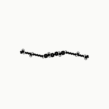 C=C(C)C(=O)OCCCCCC(=O)OCCCCCCCCOc1ccc(C(=O)OC2=CC=C(c3ccc(OC(=O)c4ccc(OCCCCCCCCOC(=O)CCCCCOC(=O)C(=C)C)cc4)cc3)CC2)cc1